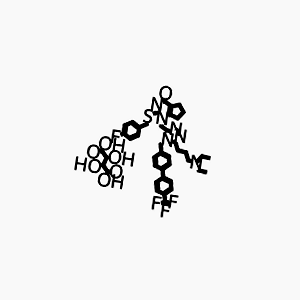 CCN(CC)CCCc1nnc(Cn2c(SCc3ccc(F)cc3)nc(=O)c3c2CCC3)n1Cc1ccc(-c2ccc(C(F)(F)F)cc2)cc1.O=C(O)C(O)C(O)C(=O)O